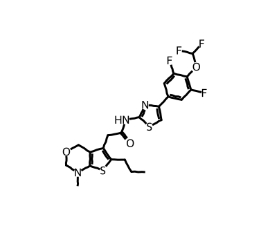 CCCc1sc2c(c1CC(=O)Nc1nc(-c3cc(F)c(OC(F)F)c(F)c3)cs1)COCN2C